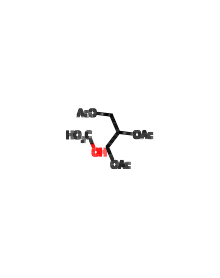 CC(=O)OCC(COC(C)=O)OC(C)=O.O=C(O)O